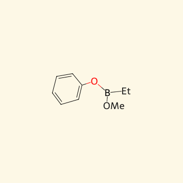 CCB(OC)Oc1ccccc1